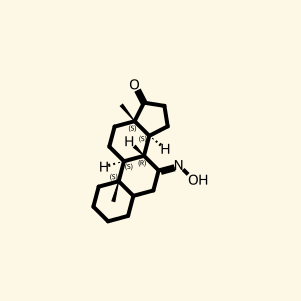 C[C@]12CCCCC1CC(=NO)[C@@H]1[C@@H]2CC[C@]2(C)C(=O)CC[C@@H]12